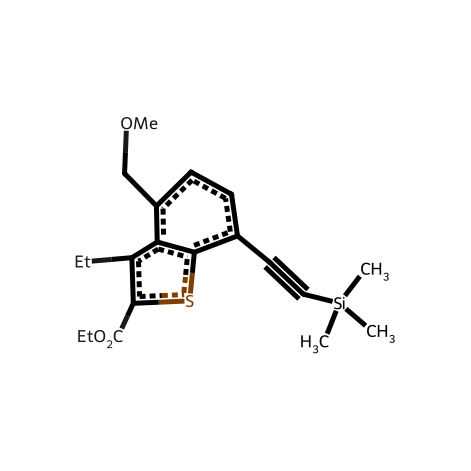 CCOC(=O)c1sc2c(C#C[Si](C)(C)C)ccc(COC)c2c1CC